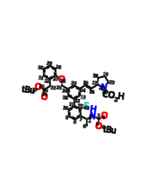 CC(NC(=O)OC(C)(C)C)c1cccc(-c2cc(C=CC3CCCN3C(=O)O)cc(COc3ccccc3CC(=O)OC(C)(C)C)c2)c1F